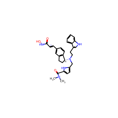 CN(C)C(=O)c1ccc(CN(CCc2c[nH]c3ccccc23)[C@@H]2CCc3cc(/C=C/C(=O)NO)ccc32)[nH]1